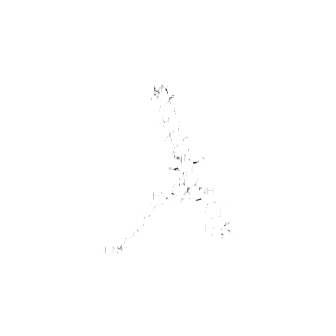 CP(=O)(S)OC1CCC(C(=O)NC(CCC(=O)NCCOCCOCCON)C(=O)N(CC(=O)NCCOCCOCCON)CC(=O)NCCOCCOCCON)CC1